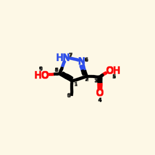 Cc1c(C(=O)O)n[nH]c1O